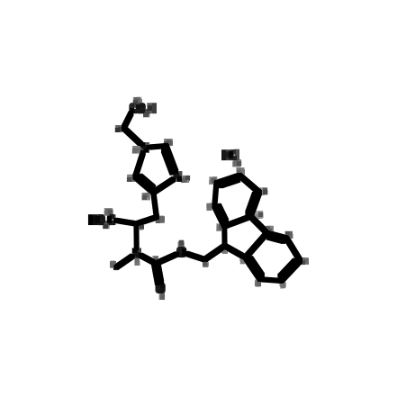 CN(C(=O)OCC1c2ccccc2-c2ccccc21)C(Cc1cn(CC(=O)O)cn1)C(=O)O.Cl